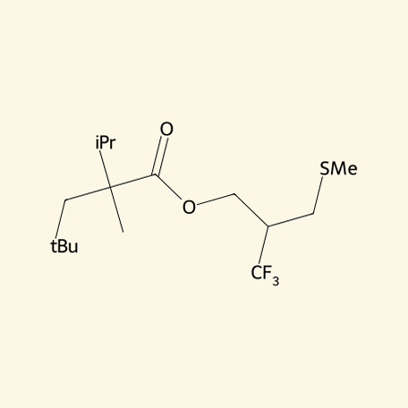 CSCC(COC(=O)C(C)(CC(C)(C)C)C(C)C)C(F)(F)F